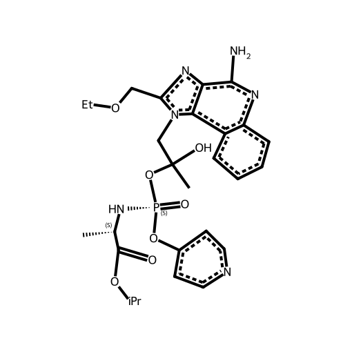 CCOCc1nc2c(N)nc3ccccc3c2n1CC(C)(O)O[P@](=O)(N[C@@H](C)C(=O)OC(C)C)Oc1ccncc1